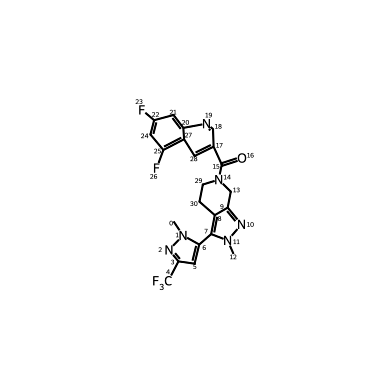 Cn1nc(C(F)(F)F)cc1-c1c2c(nn1C)CN(C(=O)c1cnc3cc(F)cc(F)c3c1)CC2